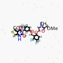 COCC(=O)N(C)CCOc1ccc(F)c(F)c1COc1ccc(F)c(-n2c(=O)[nH]c3csc(C(=O)O)c3c2=O)c1